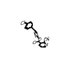 N#Cc1ncccc1C(=O)ON=Cc1ccc(Cl)cc1